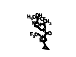 C[C@H]1CN(C(=O)c2cc(C3CC3)nn2CC(F)(F)F)Cc2cnc([C@@](C)(O)C(F)(F)F)n21